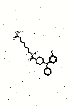 COC(=O)CCCCCCNC(=O)N1CCC(N(c2ccccc2)c2cccc(F)c2)CC1